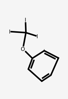 IC(I)(I)Oc1[c]cccc1